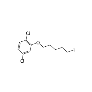 Clc1ccc(Cl)c(OCCCCCI)c1